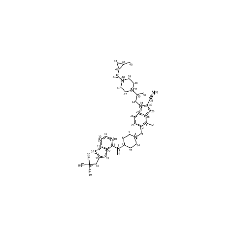 Cc1c(CN2CCC(Nc3ncnc4sc(CC(F)(F)F)cc34)CC2)ccc2c1cc(C#N)n2CC(C)N1CCN(SC2CC2C)CC1